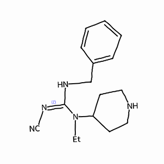 CCN(/C(=N\C#N)NCc1ccccc1)C1CCNCC1